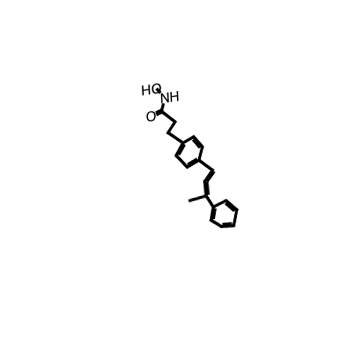 CC(=C=Cc1ccc(CCC(=O)NO)cc1)c1ccccc1